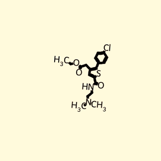 CCOC(=O)Cc1cc(C(=O)NCCN(C)C)sc1-c1ccc(Cl)cc1